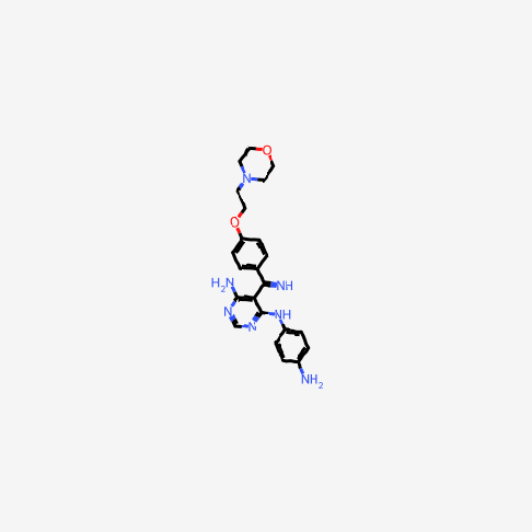 N=C(c1ccc(OCCN2CCOCC2)cc1)c1c(N)ncnc1Nc1ccc(N)cc1